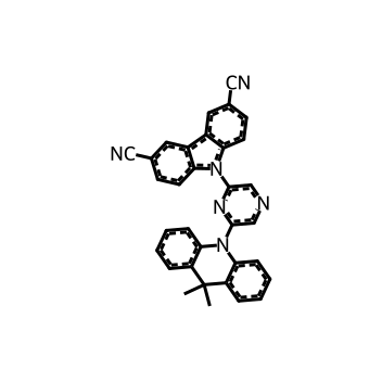 CC1(C)c2ccccc2N(c2cncc(-n3c4ccc(C#N)cc4c4cc(C#N)ccc43)n2)c2ccccc21